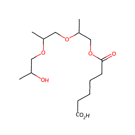 CC(O)COC(C)COC(C)COC(=O)CCCCC(=O)O